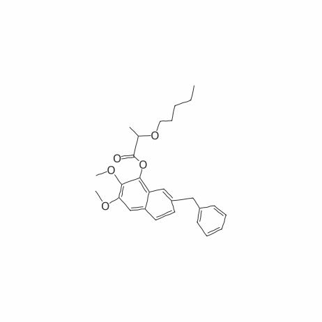 CCCCCOC(C)C(=O)Oc1c(OC)c(OC)cc2ccc(Cc3ccccc3)cc12